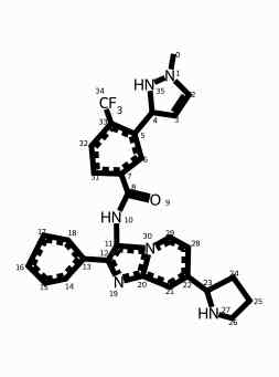 CN1C=CC(c2cc(C(=O)Nc3c(-c4ccccc4)nc4cc(C5CCCN5)ccn34)ccc2C(F)(F)F)N1